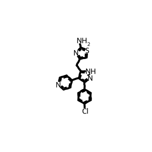 Nc1nc(Cc2[nH]nc(-c3ccc(Cl)cc3)c2-c2ccncc2)cs1